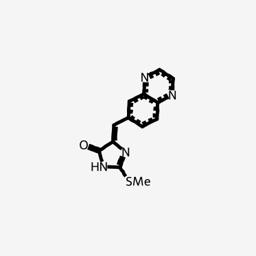 CSC1=N/C(=C\c2ccc3nccnc3c2)C(=O)N1